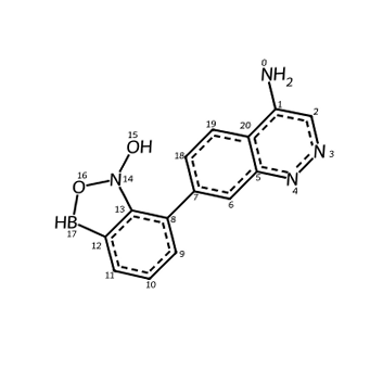 Nc1cnnc2cc(-c3cccc4c3N(O)OB4)ccc12